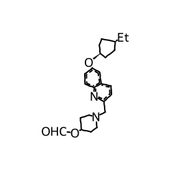 CC[C@H]1CC[C@@H](Oc2ccc3nc(CN4CCC(OC=O)CC4)ccc3c2)CC1